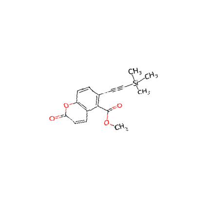 COC(=O)c1c(C#C[Si](C)(C)C)ccc2oc(=O)ccc12